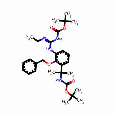 CC/N=C(/NC(=O)OC(C)(C)C)Nc1cccc(C(C)(C)NC(=O)OC(C)(C)C)c1OCc1ccccc1